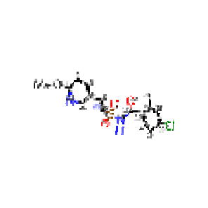 COc1ccc(/C=C/S(=O)(=O)NC(=O)c2ccc(Cl)cc2C)cn1